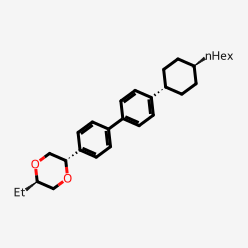 CCCCCC[C@H]1CC[C@H](c2ccc(-c3ccc([C@H]4CO[C@H](CC)CO4)cc3)cc2)CC1